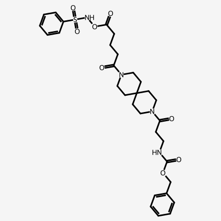 O=C(CCCC(=O)N1CCC2(CC1)CCN(C(=O)CCNC(=O)OCc1ccccc1)CC2)ONS(=O)(=O)c1ccccc1